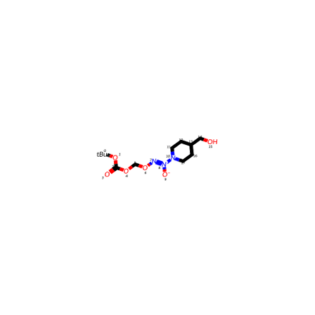 CC(C)(C)OC(=O)OCON=[N+]([O-])N1CCC(CO)CC1